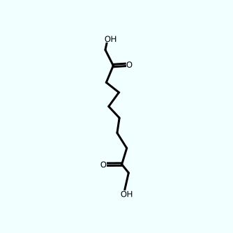 O=C(CO)CCCCCCC(=O)CO